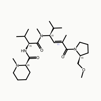 COC[C@@H]1CCCN1C(=O)/C(C)=C/[C@H](C(C)C)N(C)C(=O)[C@@H](NC(=O)[C@H]1CCCCN1C)C(C)C